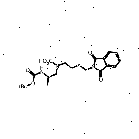 CC(CN(CCCCN1C(=O)c2ccccc2C1=O)C(=O)O)NC(=O)OC(C)(C)C